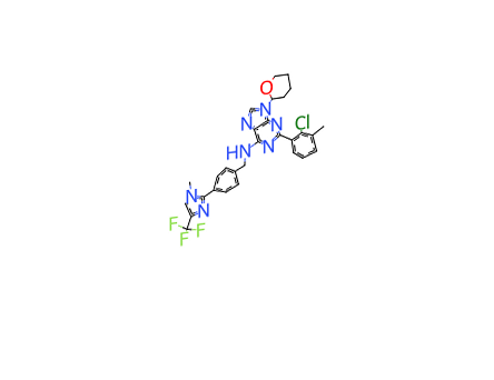 Cc1cccc(-c2nc(NCc3ccc(-c4nc(C(F)(F)F)cn4C)cc3)c3ncn(C4CCCCO4)c3n2)c1Cl